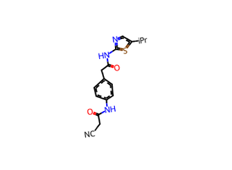 CC(C)c1cnc(NC(=O)Cc2ccc(NC(=O)CC#N)cc2)s1